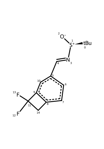 CC(C)(C)[S@+]([O-])N=Cc1ccc2c(c1)C(F)(F)C2